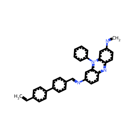 C=Cc1ccc(-c2ccc(C=Nc3ccc4nc5ccc(N=C)cc5[n+](-c5ccccc5)c4c3)cc2)cc1